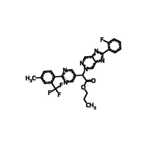 CCCOC(=O)C(c1cnc(-c2ccc(C)cc2C(F)(F)F)nc1)n1cc2nc(-c3ccccc3F)nc-2cn1